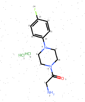 Cl.Cl.NCC(=O)N1CCN(c2ccc(F)cc2)CC1